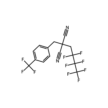 N#CC(C#N)(Cc1ccc(C(F)(F)F)cc1)CC(F)(F)C(F)(F)C(F)(F)F